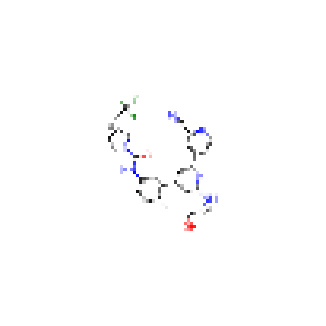 Cc1ccc(NC(=O)N2CC[C@@H](CC(F)(F)F)C2)cc1-c1cc(N[C@H](C)CO)nc(-c2ccnc(C#N)c2)c1